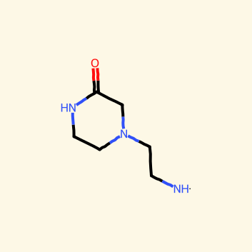 [NH]CCN1CCNC(=O)C1